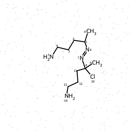 CC(CCCN)N=NC(C)(Cl)CCCN